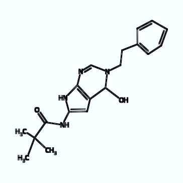 CC(C)(C)C(=O)Nc1cc2c([nH]1)N=CN(CCc1ccccc1)C2O